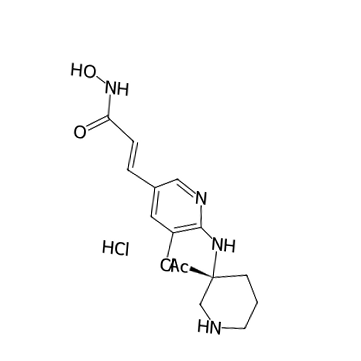 CC(=O)[C@@]1(Nc2ncc(/C=C/C(=O)NO)cc2Cl)CCCNC1.Cl